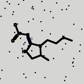 CSCCN1/C(=N/[N+](=O)[O-])NCC1C